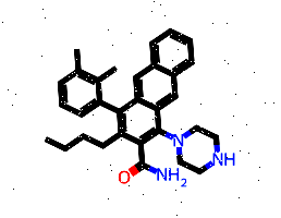 CCCCc1c(C(N)=O)c(N2CCNCC2)c2cc3ccccc3cc2c1-c1cccc(C)c1C